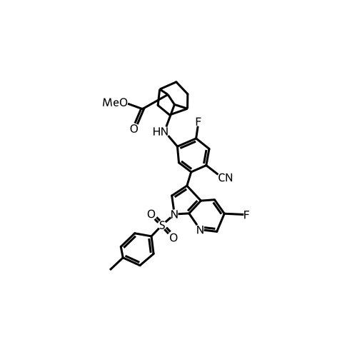 COC(=O)C1C2CCC(CC2)C1Nc1cc(-c2cn(S(=O)(=O)c3ccc(C)cc3)c3ncc(F)cc23)c(C#N)cc1F